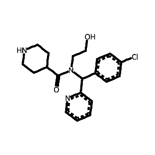 O=C(C1CCNCC1)N(CCO)C(c1ccc(Cl)cc1)c1ccccn1